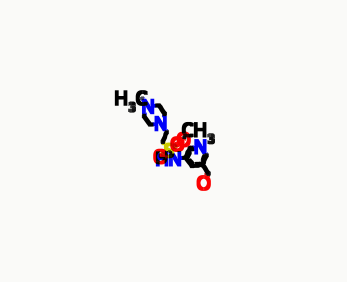 COc1ncc(C=O)cc1NS(=O)(=O)CCN1CCN(C)CC1